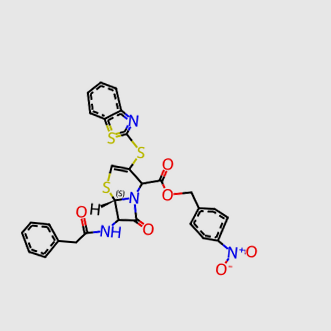 O=C(Cc1ccccc1)NC1C(=O)N2C(C(=O)OCc3ccc([N+](=O)[O-])cc3)C(Sc3nc4ccccc4s3)=CS[C@@H]12